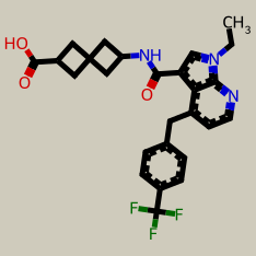 CCn1cc(C(=O)NC2CC3(C2)CC(C(=O)O)C3)c2c(Cc3ccc(C(F)(F)F)cc3)ccnc21